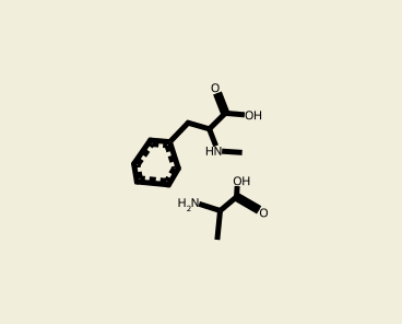 CC(N)C(=O)O.CNC(Cc1ccccc1)C(=O)O